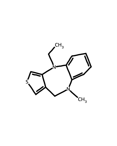 CCN1c2cscc2CN(C)c2ccccc21